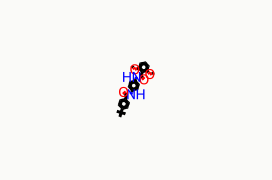 COc1cccc(OC)c1C(=O)Nc1ccc(NC(=O)c2ccc(C(C)(C)C)cc2)cc1